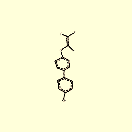 Oc1ccc(-c2ccc(OC(F)=C(F)F)cc2)cc1